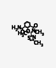 COc1c(C(N)=O)cccc1C(=O)N(C)Cc1nc(C)cs1